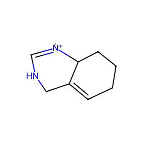 C1=[N+]C2CCCC=C2CN1